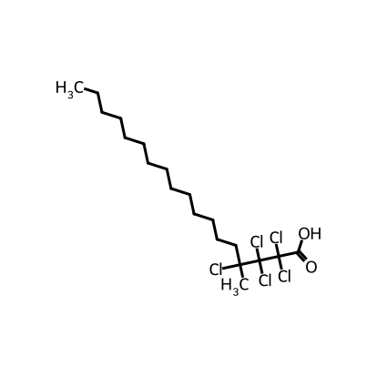 CCCCCCCCCCCCCCC(C)(Cl)C(Cl)(Cl)C(Cl)(Cl)C(=O)O